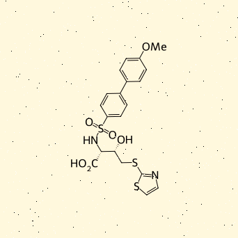 COc1ccc(-c2ccc(S(=O)(=O)N[C@@H](C(=O)O)[C@H](O)CSc3nccs3)cc2)cc1